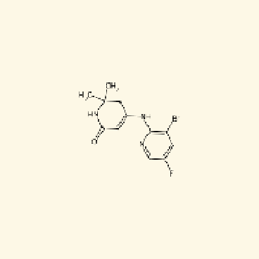 CC1(C)CC(Nc2ncc(F)cc2Br)=CC(=O)N1